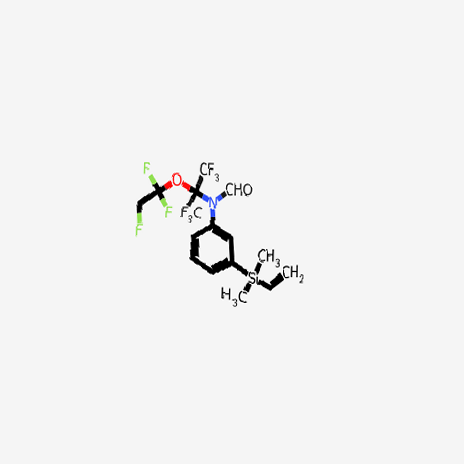 C=C[Si](C)(C)c1cccc(N(C=O)C(OC(F)(F)CF)(C(F)(F)F)C(F)(F)F)c1